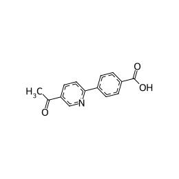 CC(=O)c1ccc(-c2ccc(C(=O)O)cc2)nc1